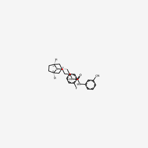 N#Cc1cccc(NC(=O)NCCCN2[C@@H]3CC[C@H]2C[C@H](Cc2ccc(F)cc2)C3)c1